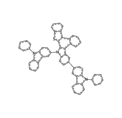 c1ccc(-n2c3ccccc3c3cc(-c4ccc5c(c4)c4c6ccccc6c6c7ccccc7sc6c4n5-c4ccc5c(c4)c4ccccc4n5-c4ccccc4)ccc32)cc1